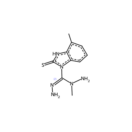 Cc1cccc2c1[nH]c(=S)n2/C(=N/N)N(C)N